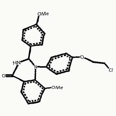 COc1ccc(C2NC(=O)c3cccc(OC)c3N2c2ccc(OCCCl)cc2)cc1